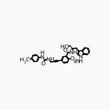 Cc1ccc(NC(=O)NCC#Cc2ccc(OC(C)C)c(C(=O)N[C@@H](CO)Cc3c[nH]c4ccccc34)c2)cc1